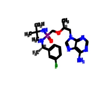 C[C@@H](Cn1cnc2c(N)ncnc21)OCP(=O)(N[C@H](c1cccc(F)c1)C(F)(F)F)NC(C)(C)C(=O)O